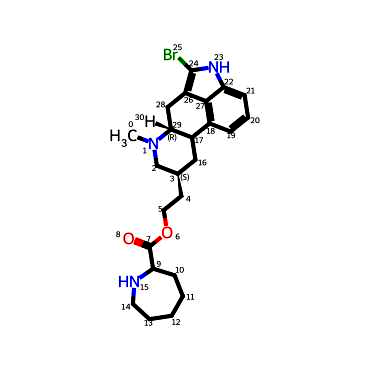 CN1C[C@H](CCOC(=O)C2CCCCCN2)CC2c3cccc4[nH]c(Br)c(c34)C[C@H]21